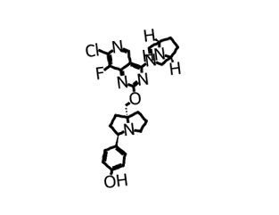 Oc1ccc([C@H]2CC[C@@]3(COc4nc(N5C[C@H]6CC[C@@H](C5)N6)c5cnc(Cl)c(F)c5n4)CCCN23)cc1